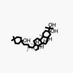 C[C@H](CCC1(O)CCC(C)(C)CC1)[C@H]1CC[C@H]2[C@@H]3CC[C@H]4C[C@](O)(C(C)(C)O)CC[C@]4(C)[C@H]3CC[C@]12C